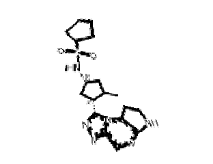 CC1C[C@@H](NS(=O)(=O)C2CCCC2)C[C@H]1c1nnc2cnc3c(n12)CCN3